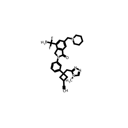 BC(F)(F)c1cc(CN2CCCCC2)cc2c1CN(c1cccc(C3(Cc4nncn4C)CC(C#C)C3)c1)C2=O